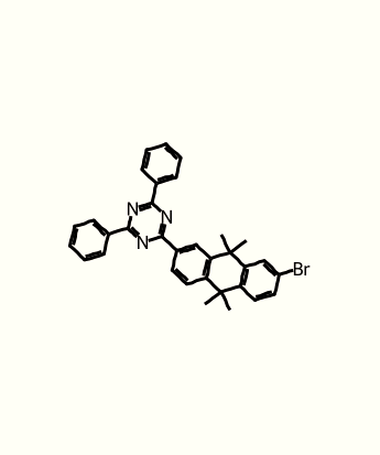 CC1(C)c2ccc(Br)cc2C(C)(C)c2cc(-c3nc(-c4ccccc4)nc(-c4ccccc4)n3)ccc21